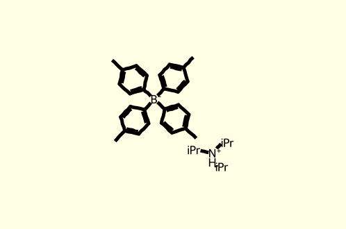 CC(C)[NH+](C(C)C)C(C)C.Cc1ccc([B-](c2ccc(C)cc2)(c2ccc(C)cc2)c2ccc(C)cc2)cc1